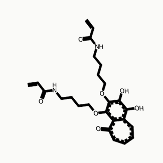 C=CC(=O)NCCCCOc1c(O)c(O)c2ccccc(=O)c2c1OCCCCNC(=O)C=C